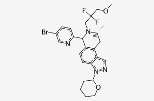 COCC(F)(F)CN1C(c2ccc(Br)cn2)c2ccc3c(cnn3C3CCCCO3)c2C[C@H]1C